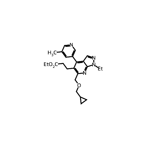 CCOC(=O)CCc1c(COCC2CC2)nc2c(cnn2CC)c1-c1cncc(C)c1